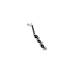 CCCCCCCCCCOc1ccc(C(=O)Oc2ccc(C(=O)Oc3ccc(C(=O)O)cc3)cc2)cc1